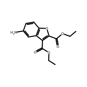 CCOC(=O)c1oc2ccc(N)cc2c1C(=O)OCC